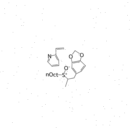 C=Cc1ccccn1.CCCCCCCC[S+]([O-])C(C)Cc1ccc2c(c1)OCO2